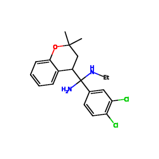 CCNC(N)(c1ccc(Cl)c(Cl)c1)C1CC(C)(C)Oc2ccccc21